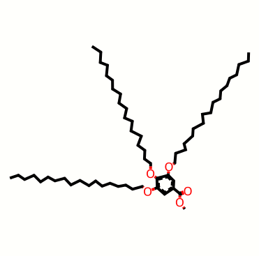 CCCCCCCCCCCCCCCCCCOc1cc(C(=O)OC)cc(OCCCCCCCCCCCCCCCCCC)c1OCCCCCCCCCCCCCCCCCC